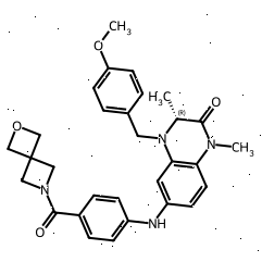 COc1ccc(CN2c3cc(Nc4ccc(C(=O)N5CC6(COC6)C5)cc4)ccc3N(C)C(=O)[C@H]2C)cc1